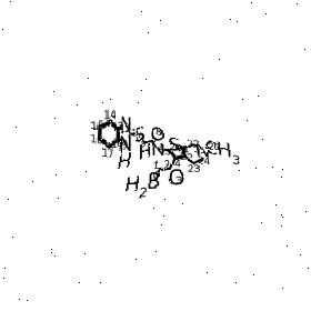 BCC(=O)c1c(NC(=O)CSc2nc3ccccc3[nH]2)sc2c1CCN(C)C2